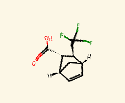 O=C(O)[C@@H]1[C@@H](C(F)(F)F)[C@@H]2C=C[C@H]1C2